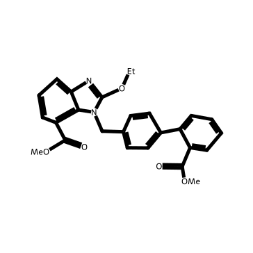 CCOc1nc2cccc(C(=O)OC)c2n1Cc1ccc(-c2ccccc2C(=O)OC)cc1